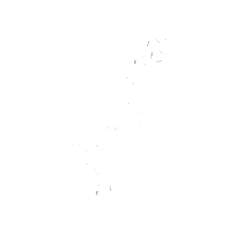 CSCC[C@H](NC(=O)CCC(C)C1CC[C@H]2[C@@H]3C(CC(O)C12C)C1(C)CC[C@@H](NC(=O)CCC(C)C2CCC4[C@@H]5C(CC(O)C24C)C2(C)CC[C@@H](NS(=O)(=O)c4cccc6c(N(C)C)cccc46)C[C@H]2C[C@@H]5O)C[C@H]1C[C@@H]3O)C(C)=O